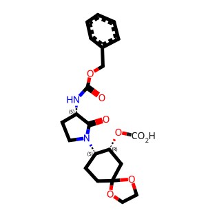 O=C(O)O[C@@H]1CC2(CC[C@@H]1N1CC[C@H](NC(=O)OCc3ccccc3)C1=O)OCCO2